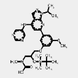 COc1cc(OCC(CN(C)C(=O)O)O[Si](C)(C)C(C)(C)C)cc(-c2cc(Nc3cncnc3)c3cnn(C(C)C)c3n2)c1